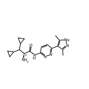 Cc1n[nH]c(C)c1-c1ccc(NC(=O)[C@@H](N)C(C2CC2)C2CC2)nn1